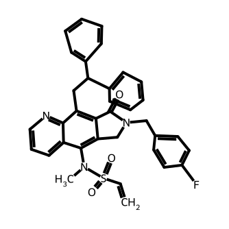 C=CS(=O)(=O)N(C)c1c2c(c(CC(c3ccccc3)c3ccccc3)c3ncccc13)C(=O)N(Cc1ccc(F)cc1)C2